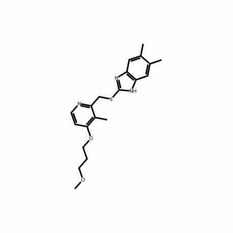 COCCCOc1ccnc(CSc2nc3cc(C)c(C)cc3[nH]2)c1C